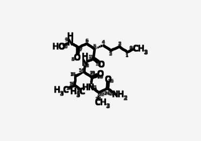 CCCCC[C@@H](CC(=O)NO)C(=O)N[C@H](CC(C)C)C(=O)N[C@@H](C)C(N)=O